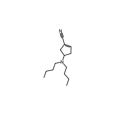 CCCCN(CCCC)C1CC=C(C#N)C1